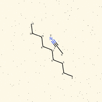 CC#N.CCCCCCCCC